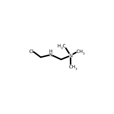 C[Si](C)(C)CNCCl